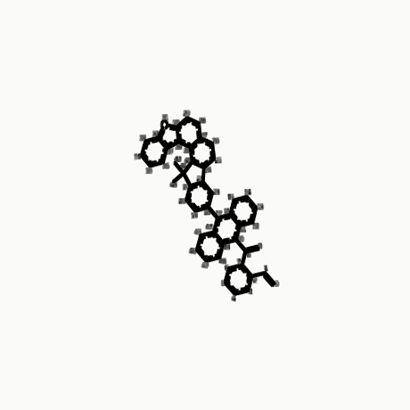 C=Cc1ccccc1C(=C)c1c2ccccc2c(-c2ccc3c(c2)-c2ccc4ccc5oc6ccccc6c5c4c2C3(C)C)c2ccccc12